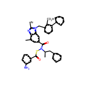 CCCc1nc2c(C)cc(C(=O)N(SC(=O)c3cccc(N)c3)C(C)Cc3ccccc3)cc2n1Cc1cccc(-c2ccccc2)c1C(=O)O